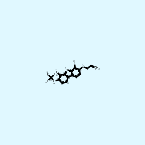 C=CCOc1ccc2c(oc3c(F)c(OC(F)(F)F)ccc32)c1F